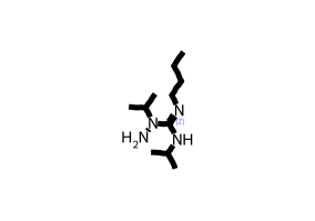 CCCC/N=C(/NC(C)C)N(N)C(C)C